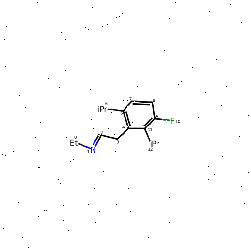 CCN=CCc1c(C(C)C)ccc(F)c1C(C)C